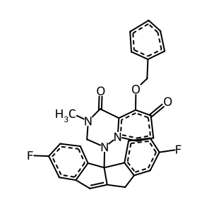 CN1CN(C23C(=Cc4cc(F)ccc42)Cc2cc(F)ccc23)n2ccc(=O)c(OCc3ccccc3)c2C1=O